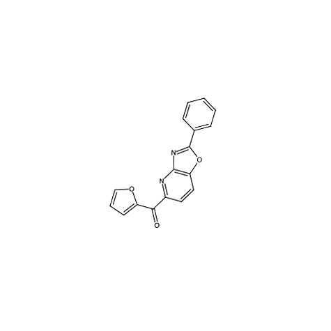 O=C(c1ccc2oc(-c3ccccc3)nc2n1)c1ccco1